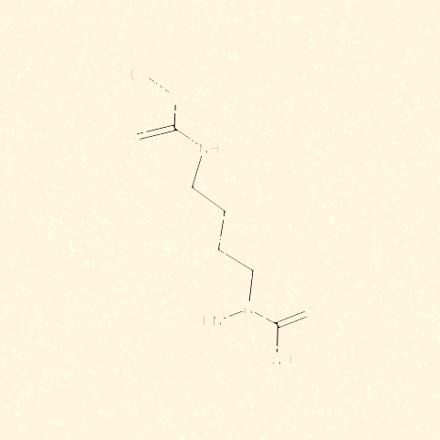 CC(C)(C)OC(=O)NCCCCN(N)C(N)=S